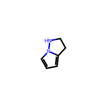 c1cc2n(c1)NCC2